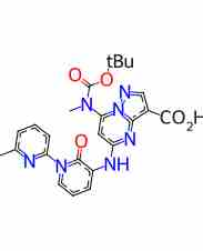 Cc1cccc(-n2cccc(Nc3cc(N(C)C(=O)OC(C)(C)C)n4ncc(C(=O)O)c4n3)c2=O)n1